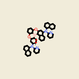 C1=CC2C(N(c3ccccn3)c3cccc4ccccc34)=CC3=C(B4c5c(cccc5Oc5cc(N(c6ccccn6)c6cccc7ccccc67)c6ccccc6c54)O3)C2C=C1